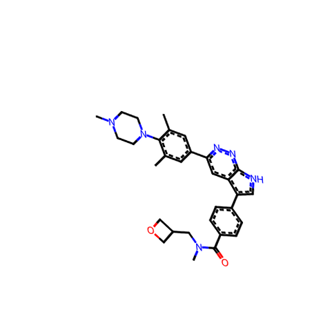 Cc1cc(-c2cc3c(-c4ccc(C(=O)N(C)CC5COC5)cc4)c[nH]c3nn2)cc(C)c1N1CCN(C)CC1